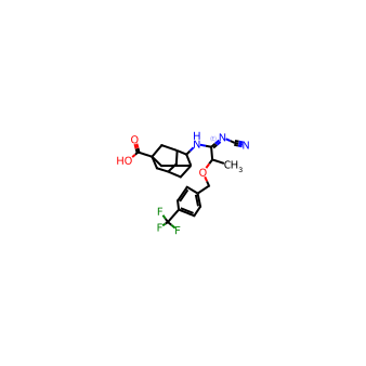 CC(OCc1ccc(C(F)(F)F)cc1)/C(=N\C#N)NC1C2CC3CC1CC(C(=O)O)(C3)C2